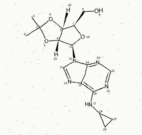 CC1(C)O[C@@H]2[C@H](O1)[C@@H](CO)O[C@H]2n1cnc2c(NC3CC3)ncnc21